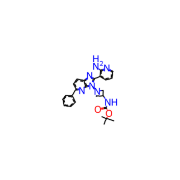 CC(C)(C)OC(=O)NC1CN(n2c(-c3cccnc3N)nc3ccc(-c4ccccc4)nc32)C1